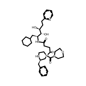 CCC(CCC(=O)N[C@@H](CC1CCCCC1)[C@@H](O)[C@@H](O)CCc1ccccn1)[N+]1(C(=O)N2CCOCC2)CCN[C@H](Cc2ccccc2)C1